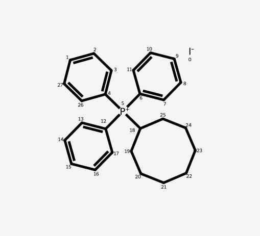 [I-].c1ccc([P+](c2ccccc2)(c2ccccc2)C2CCCCCCC2)cc1